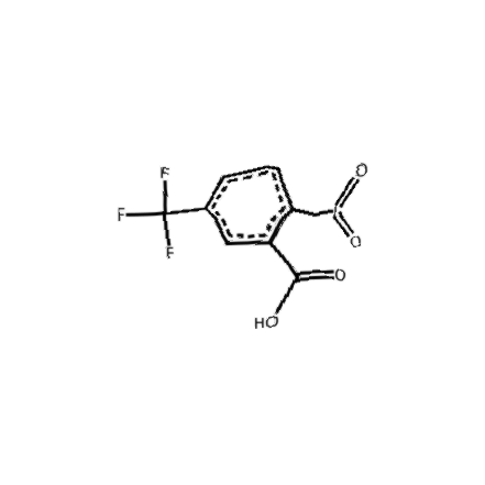 O=C(O)c1cc(C(F)(F)F)ccc1I(=O)=O